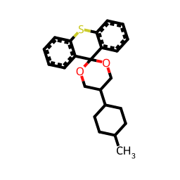 CC1CCC(C2COC3(OC2)c2ccccc2Sc2ccccc23)CC1